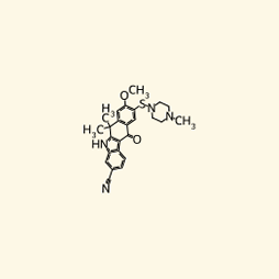 COc1cc2c(cc1SN1CCN(C)CC1)C(=O)c1c([nH]c3cc(C#N)ccc13)C2(C)C